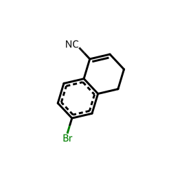 N#CC1=CCCc2cc(Br)ccc21